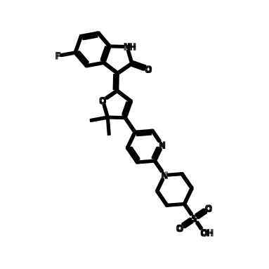 CC1(C)O/C(=C2/C(=O)Nc3ccc(F)cc32)C=C1c1ccc(N2CCC(S(=O)(=O)O)CC2)nc1